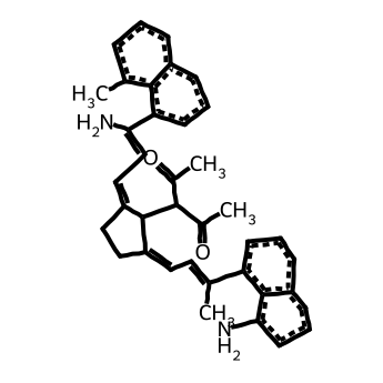 CC(=O)C(C(C)=O)C1/C(=C\C=C(/N)c2cccc3cccc(C)c23)CC/C1=C/C=C(\C)c1cccc2cccc(N)c12